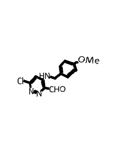 COc1ccc(CNc2cc(Cl)nnc2C=O)cc1